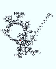 CCCCCCCCCCCCCCCC(=O)NCC(=O)N[C@H](C(=O)N[C@@H](CCC(N)=O)C(=O)N[C@@H](Cc1c[nH]cn1)C(=O)N[C@@H](CO)C(=O)N[C@@H](CCCC)C(=O)N[C@H]1CCC(=O)CNCCCC[C@@H](C(N)=O)NC(=O)[C@H](Cc2c[nH]c3ccccc23)NC(=O)[C@H](CCCNC(=N)N)NC(=O)C(Cc2ccccc2)NC(=O)[C@@H]2CC(O)CN2C1=O)C(C)O